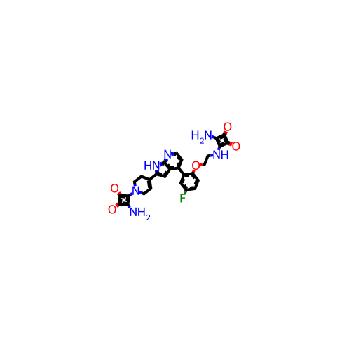 Nc1c(NCCOc2ccc(F)cc2-c2ccnc3[nH]c(C4=CCN(c5c(N)c(=O)c5=O)CC4)cc23)c(=O)c1=O